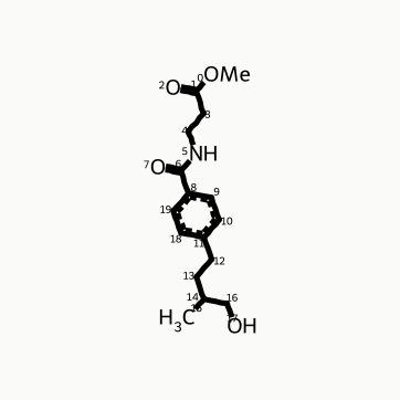 COC(=O)CCNC(=O)c1ccc(CCC(C)CO)cc1